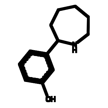 Oc1cccc(C2CCCCCN2)c1